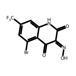 O=C1Nc2cc(C(F)(F)F)cc(Br)c2C(=O)C1=NO